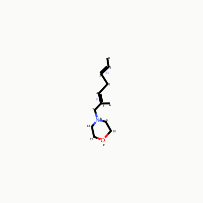 C/C=C/C/C=C(\C)CN1CCOCC1